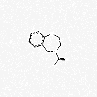 CC(=O)N1CCOc2ccccc2C1